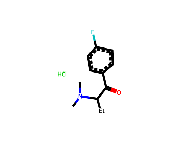 CCC(C(=O)c1ccc(F)cc1)N(C)C.Cl